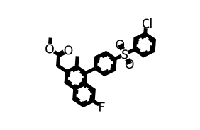 COC(=O)Cc1cc2ccc(F)cc2c(-c2ccc(S(=O)(=O)c3cccc(Cl)c3)cc2)c1C